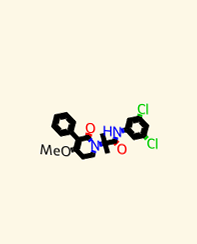 COC1=C(c2ccccc2)C(=O)N(C(C)(C)C(=O)Nc2cc(Cl)cc(Cl)c2)CC1